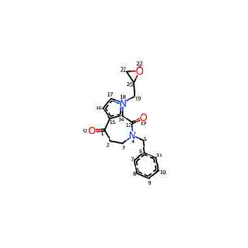 O=C1CCN(Cc2ccccc2)C(=O)c2c1ccn2CC1CO1